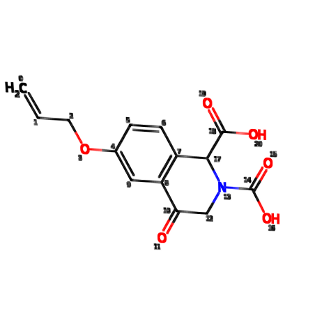 C=CCOc1ccc2c(c1)C(=O)CN(C(=O)O)C2C(=O)O